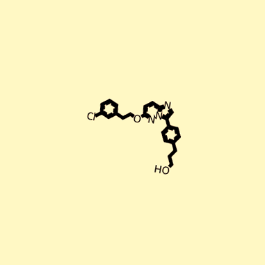 OCCCc1ccc(-c2cnc3ccc(OCCc4cccc(Cl)c4)nn23)cc1